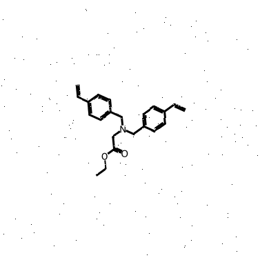 C=Cc1ccc(CN(CC(=O)OCC)Cc2ccc(C=C)cc2)cc1